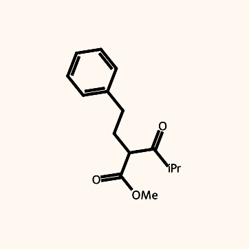 COC(=O)C(CCc1ccccc1)C(=O)C(C)C